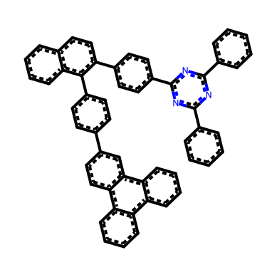 c1ccc(-c2nc(-c3ccccc3)nc(-c3ccc(-c4ccc5ccccc5c4-c4ccc(-c5ccc6c7ccccc7c7ccccc7c6c5)cc4)cc3)n2)cc1